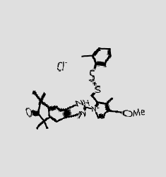 COc1cc[n+](-c2nc3cc4c(cc3[nH]2)C(C)(C)C(=O)C4(C)C)c(CSSc2ccccc2C)c1C.[Cl-]